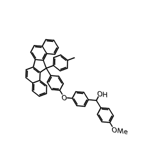 COc1ccc(C(O)c2ccc(Oc3ccc(C4(c5ccc(C)cc5)c5c(ccc6ccccc56)-c5ccc6ccccc6c54)cc3)cc2)cc1